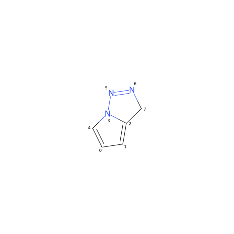 c1cc2n(c1)N=NC2